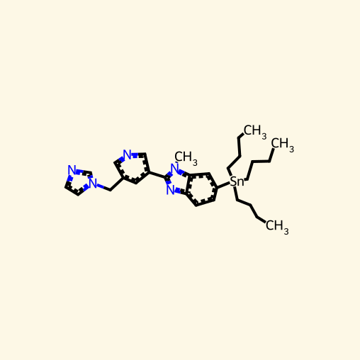 CCC[CH2][Sn]([CH2]CCC)([CH2]CCC)[c]1ccc2nc(-c3cncc(Cn4ccnc4)c3)n(C)c2c1